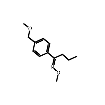 CCC/C(=N\OC)c1ccc(COC)cc1